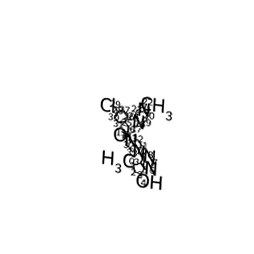 C[C@@H]1C[C@@H](O)c2ncnc(N3CCN(C(=O)[C@@H](CN4CCN(C)CC4)c4ccc(Cl)cc4)CC3)c21